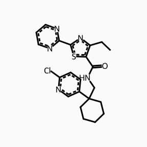 CCc1nc(-c2ncccn2)sc1C(=O)NCC1(c2ccc(Cl)nc2)CCCCC1